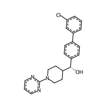 O[C@@H](c1ccc(-c2cccc(Cl)c2)cc1)C1CCN(c2ncccn2)CC1